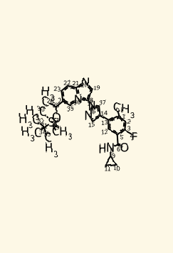 Cc1cc(F)c(C(=O)NC2CC2)cc1-c1cnn(-c2cnc3ccc(C(C)O[Si](C)(C)C(C)(C)C)cn23)c1